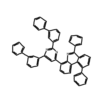 c1ccc(-c2cccc(-c3cc(-c4cccc5c4nc(-c4ccccc4)c4cccc(-c6ccccc6)c45)nc(-c4cccc(-c5ccccc5)c4)n3)c2)cc1